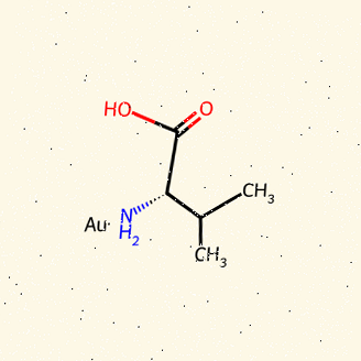 CC(C)[C@H](N)C(=O)O.[Au]